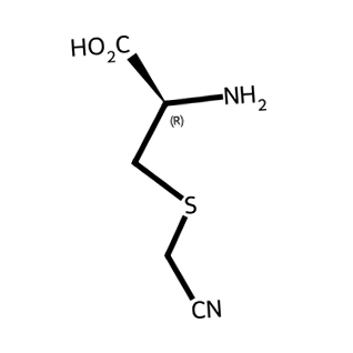 N#CCSC[C@H](N)C(=O)O